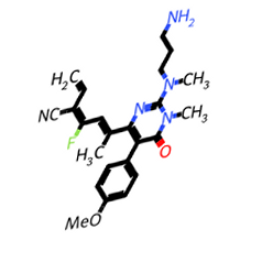 C=C/C(C#N)=C(F)\C=C(/C)c1nc(N(C)CCCN)n(C)c(=O)c1-c1ccc(OC)cc1